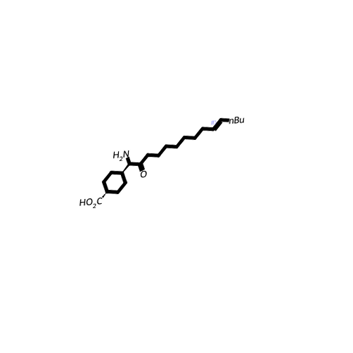 CCCC/C=C/CCCCCCCC(=O)C(N)[C@H]1CC[C@H](C(=O)O)CC1